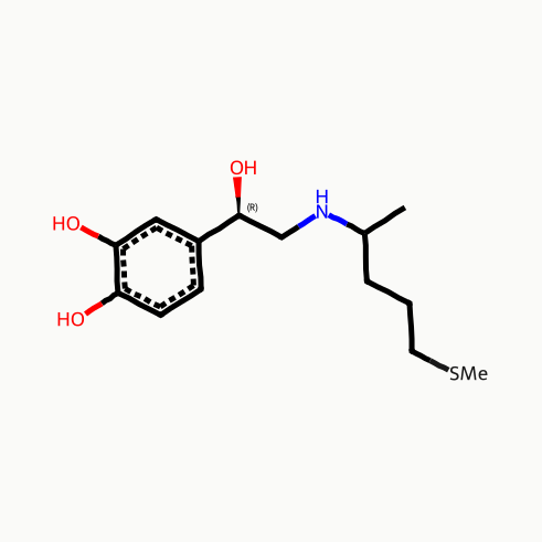 CSCCCC(C)NC[C@H](O)c1ccc(O)c(O)c1